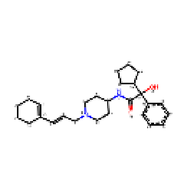 O=C(NC1CCN(CC=CC2=CCCCC2)CC1)C(O)(c1ccccc1)C1CCCC1